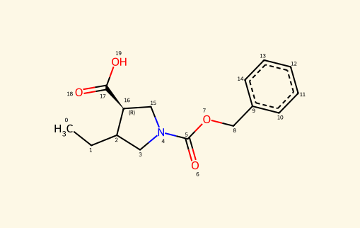 CCC1CN(C(=O)OCc2ccccc2)C[C@@H]1C(=O)O